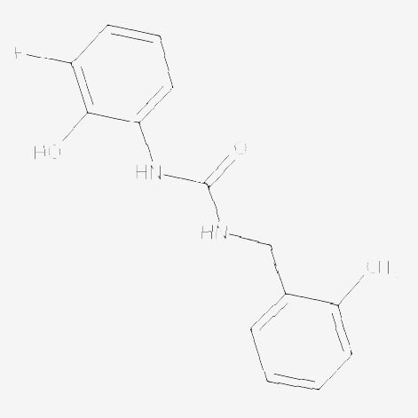 Cc1ccccc1CNC(=O)Nc1cccc(F)c1O